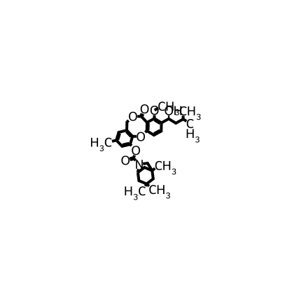 COc1c([C@@H](O)CC(C)C)ccc2c1C(=O)OCc1cc(C)cc(OC(=O)N3CC4(C)CC3CC(C)(C)C4)c1O2